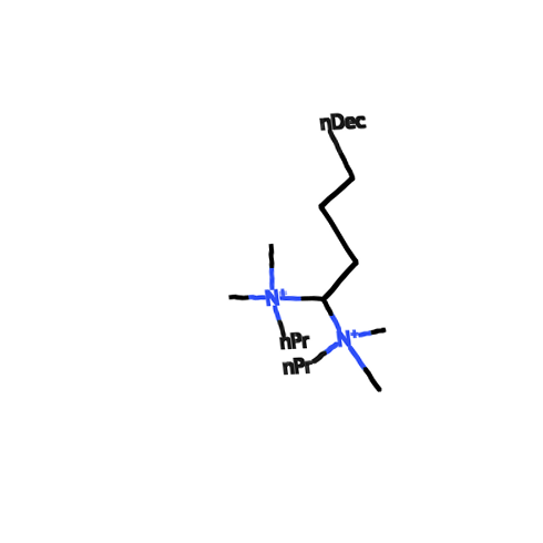 CCCCCCCCCCCCCC([N+](C)(C)CCC)[N+](C)(C)CCC